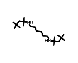 CC(C)(C)CC(C)(C)NCCCCCCNC(C)(C)CC(C)(C)C